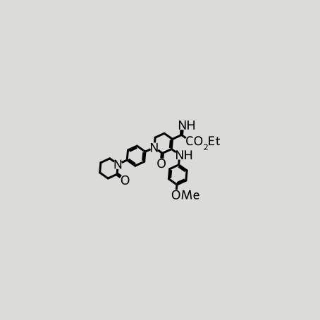 CCOC(=O)C(=N)C1=C(Nc2ccc(OC)cc2)C(=O)N(c2ccc(N3CCCCC3=O)cc2)CC1